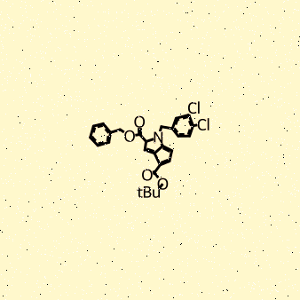 CC(C)(C)OC(=O)C1=CC=C2C1=CC(C(=O)OCc1ccccc1)N2Cc1ccc(Cl)c(Cl)c1